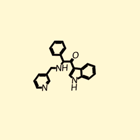 O=C(c1c[nH]c2ccccc12)C(NCc1cccnc1)c1ccccc1